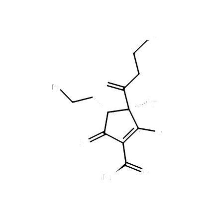 CC[C@H](C)C(=O)C1=C(O)[C@](O)(C(=O)CCC(C)C)[C@@H](CCC(C)C)C1=O